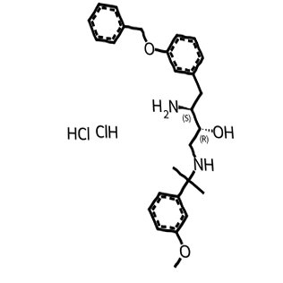 COc1cccc(C(C)(C)NC[C@@H](O)[C@@H](N)Cc2cccc(OCc3ccccc3)c2)c1.Cl.Cl